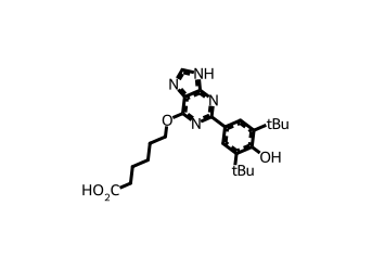 CC(C)(C)c1cc(-c2nc(OCCCCCC(=O)O)c3nc[nH]c3n2)cc(C(C)(C)C)c1O